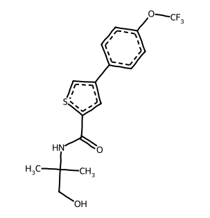 CC(C)(CO)NC(=O)c1cc(-c2ccc(OC(F)(F)F)cc2)cs1